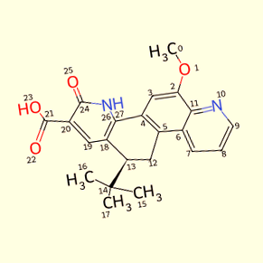 COc1cc2c(c3cccnc13)C[C@@H](C(C)(C)C)c1cc(C(=O)O)c(=O)[nH]c1-2